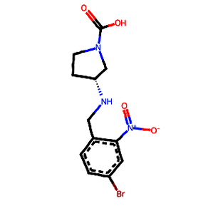 O=C(O)N1CC[C@@H](NCc2ccc(Br)cc2[N+](=O)[O-])C1